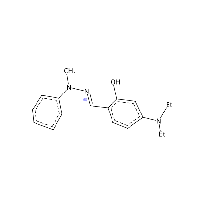 CCN(CC)c1ccc(/C=N/N(C)c2ccccc2)c(O)c1